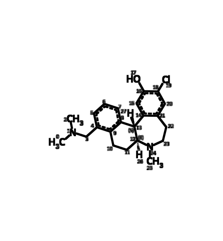 CN(C)Cc1cccc2c1CC[C@H]1[C@H]2c2cc(O)c(Cl)cc2CCN1C